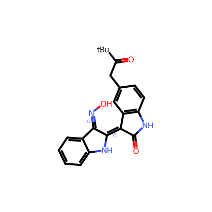 CC(C)(C)C(=O)Cc1ccc2c(c1)/C(=C1/Nc3ccccc3/C1=N/O)C(=O)N2